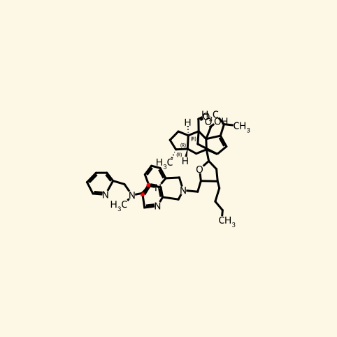 CCCCC1CC(C23C[C@@H]4[C@H](C)CC[C@H]4C4(C=O)CC2C=C(C(C)C)C34C(=O)O)OC1CN(Cc1ccccn1)Cc1cccc(CN(C)Cc2ccccn2)n1